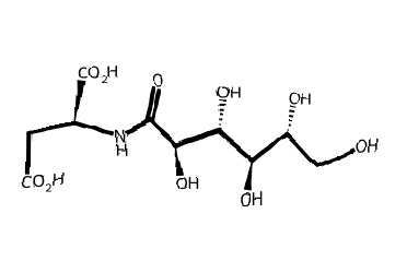 O=C(O)C[C@H](NC(=O)[C@H](O)[C@H](O)[C@H](O)[C@H](O)CO)C(=O)O